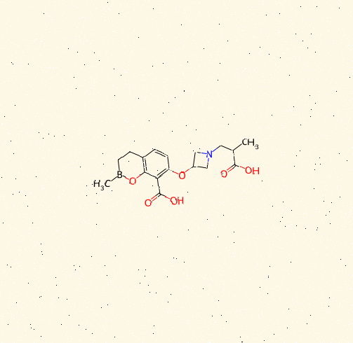 CB1CCc2ccc(OC3CN(CC(C)C(=O)O)C3)c(C(=O)O)c2O1